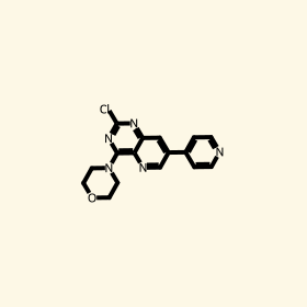 Clc1nc(N2CCOCC2)c2ncc(-c3ccncc3)cc2n1